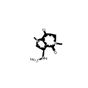 Cn1cc(Cl)c2c(c(NC(=O)O)cn2C)c1=O